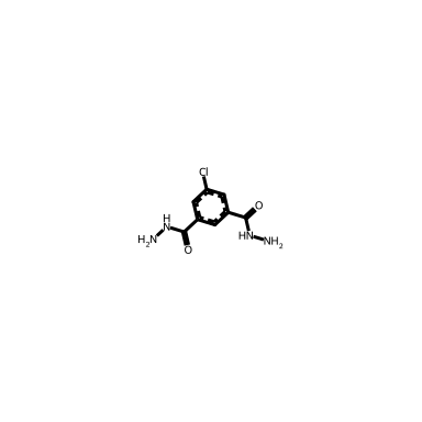 NNC(=O)c1cc(Cl)cc(C(=O)NN)c1